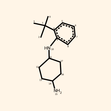 CC(C)(C)c1ccccc1NC1CCC(N)CC1